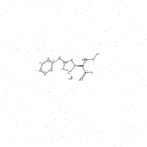 CCNC(C(C)=O)[C@@H]1CN(Cc2ccccc2)C[C@H]1F